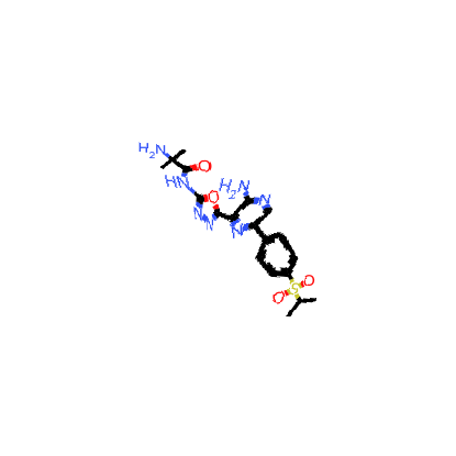 CC(C)S(=O)(=O)c1ccc(-c2cnc(N)c(-c3nnc(NC(=O)C(C)(C)N)o3)n2)cc1